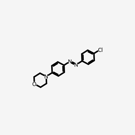 Clc1ccc(N=Nc2ccc(N3CCOCC3)cc2)cc1